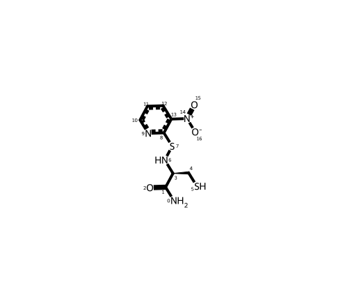 NC(=O)[C@H](CS)NSc1ncccc1[N+](=O)[O-]